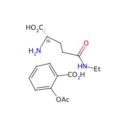 CC(=O)Oc1ccccc1C(=O)O.CCNC(=O)CC[C@H](N)C(=O)O